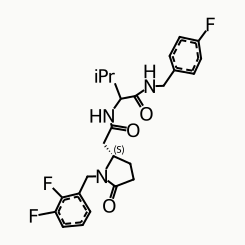 CC(C)C(NC(=O)C[C@@H]1CCC(=O)N1Cc1cccc(F)c1F)C(=O)NCc1ccc(F)cc1